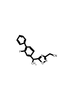 CC(c1ccc(-c2ccccc2)c(F)c1)c1nc(CC#N)no1